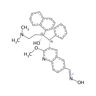 COc1nc2ccc(/C=N/O)cc2cc1[C@@H](c1ccccc1)[C@@](O)(CCN(C)C)c1cccc2ccccc12